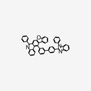 c1ccc(-c2nc3ccccc3c3c(-c4cccc(-c5ccc(-c6nc7ccccc7n6-c6ccccc6)cc5)c4)c4c(cc23)oc2ccccc24)cc1